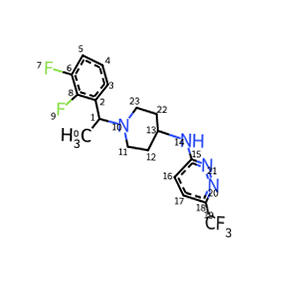 CC(c1cccc(F)c1F)N1CCC(Nc2ccc(C(F)(F)F)nn2)CC1